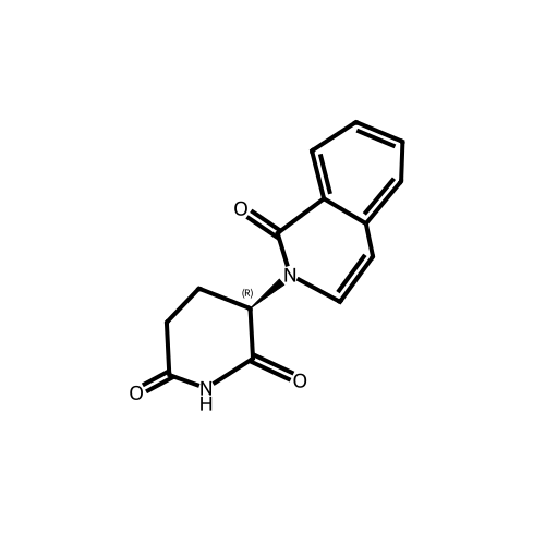 O=C1CC[C@@H](n2ccc3ccccc3c2=O)C(=O)N1